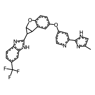 Cc1c[nH]c(-c2cc(Oc3ccc4c(c3)C3C(O4)C3c3nc4ccc(C(F)(F)F)cc4[nH]3)ccn2)n1